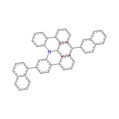 c1ccc(-c2ccccc2N(c2ccc(-c3ccc4ccccc4c3)cc2)c2cc(-c3cccc4ccccc34)ccc2-c2ccccc2)cc1